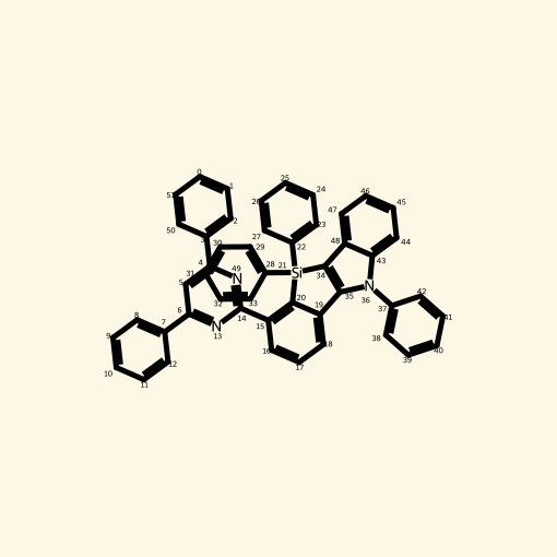 c1ccc(-c2cc(-c3ccccc3)nc(-c3cccc4c3[Si](c3ccccc3)(c3ccccc3)c3c-4n(-c4ccccc4)c4ccccc34)n2)cc1